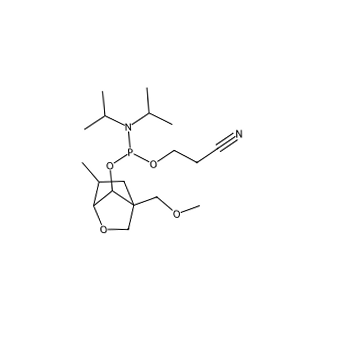 COCC12COC(C(C)C1)C2OP(OCCC#N)N(C(C)C)C(C)C